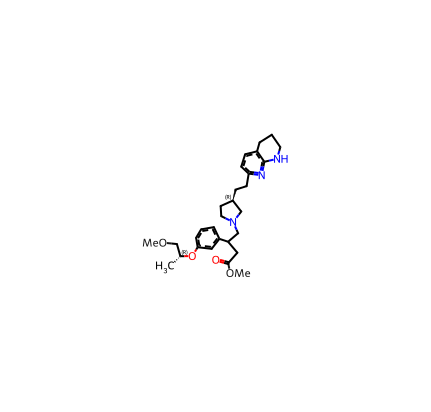 COC[C@@H](C)Oc1cccc(C(CC(=O)OC)CN2CC[C@@H](CCc3ccc4c(n3)NCCC4)C2)c1